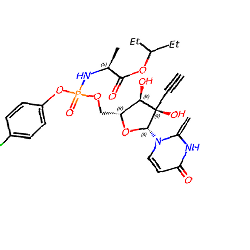 C#C[C@@]1(O)[C@H](O)[C@@H](COP(=O)(N[C@@H](C)C(=O)OC(CC)CC)Oc2ccc(Cl)cc2)O[C@H]1N1C=CC(=O)NC1=C